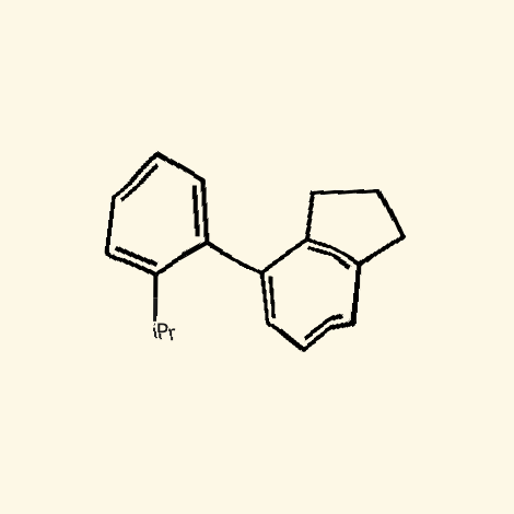 CC(C)c1ccccc1-c1cccc2c1CCC2